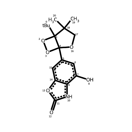 CC(C)(C)C12OOC1(c1cc(O)c3[nH]c(=O)oc3c1)OCC2(C)C